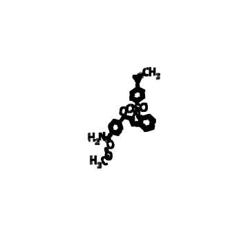 COCO[C@H](N)c1ccc(C(=O)c2cc3ccccc3n2S(=O)(=O)c2ccc(C3C[C@@H]3C)cc2)cc1